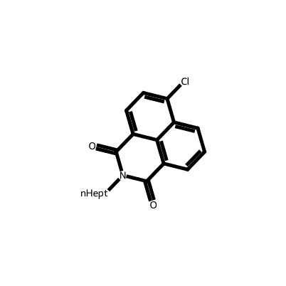 CCCCCCCN1C(=O)c2cccc3c(Cl)ccc(c23)C1=O